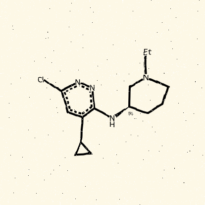 CCN1CCC[C@@H](Nc2nnc(Cl)cc2C2CC2)C1